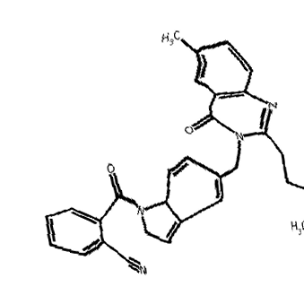 CCCCc1nc2ccc(C)cc2c(=O)n1CC1=CC2=CCN(C(=O)c3ccccc3C#N)C2C=C1